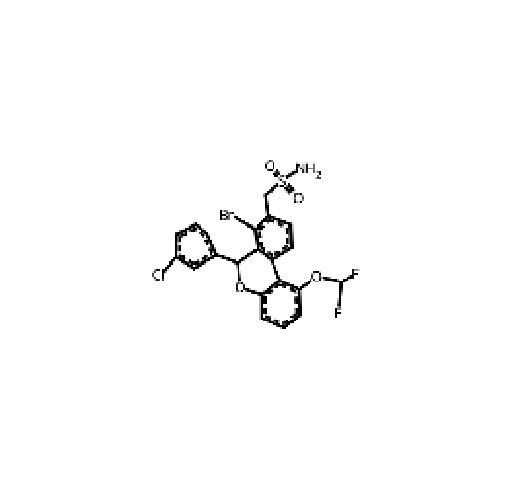 NS(=O)(=O)Cc1ccc2c(c1Br)C(c1cccc(Cl)c1)Oc1cccc(OC(F)F)c1-2